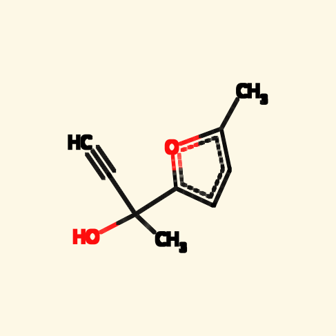 C#CC(C)(O)c1ccc(C)o1